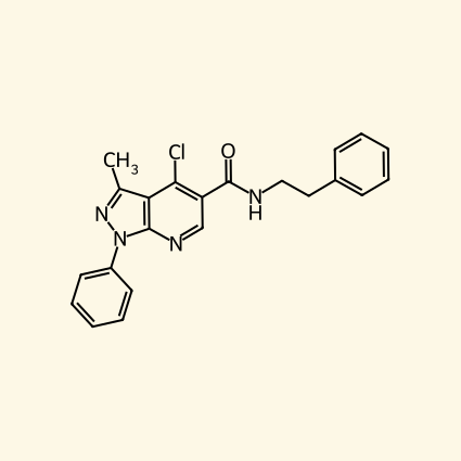 Cc1nn(-c2ccccc2)c2ncc(C(=O)NCCc3ccccc3)c(Cl)c12